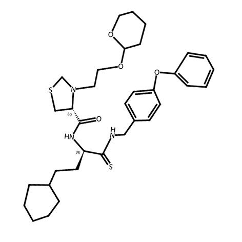 O=C(N[C@H](CCC1CCCCC1)C(=S)NCc1ccc(Oc2ccccc2)cc1)[C@@H]1CSCN1CCOC1CCCCO1